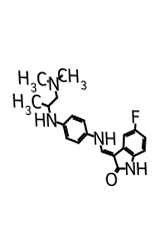 CC(CN(C)C)Nc1ccc(N/C=C2/C(=O)Nc3ccc(F)cc32)cc1